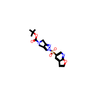 CC(C)(C)OC(=O)N1Cc2cn(S(=O)(=O)c3cnc4occc4c3)nc2C1